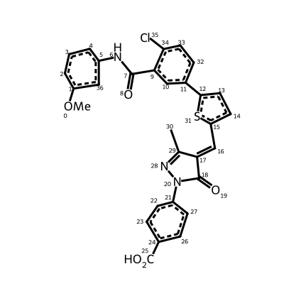 COc1cccc(NC(=O)c2cc(-c3ccc(C=C4C(=O)N(c5ccc(C(=O)O)cc5)N=C4C)s3)ccc2Cl)c1